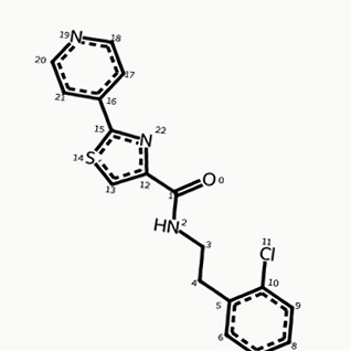 O=C(NCCc1ccccc1Cl)c1csc(-c2ccncc2)n1